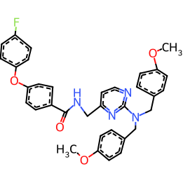 COc1ccc(CN(Cc2ccc(OC)cc2)c2nccc(CNC(=O)c3ccc(Oc4ccc(F)cc4)cc3)n2)cc1